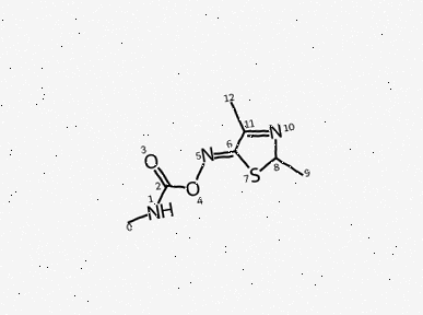 CNC(=O)ON=C1SC(C)N=C1C